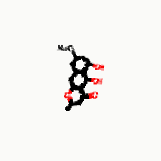 COc1cc(O)c2c(O)c3c(=O)cc(C)oc3cc2c1